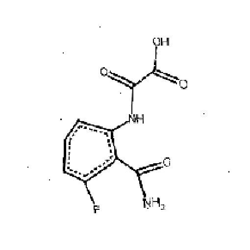 NC(=O)c1c(F)cccc1NC(=O)C(=O)O